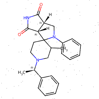 CC1CN([C@H](C)c2ccccc2)CCC12[C@@H]1C(=O)NC(=O)[C@@H]1CN2c1ccccc1